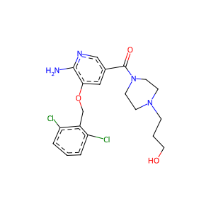 Nc1ncc(C(=O)N2CCN(CCCO)CC2)cc1OCc1c(Cl)cccc1Cl